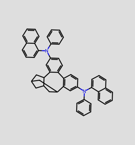 c1ccc(N(c2ccc3c(c2)C2CC4CC(C2)C(C4)c2cc(N(c4ccccc4)c4cccc5ccccc45)ccc2-3)c2cccc3ccccc23)cc1